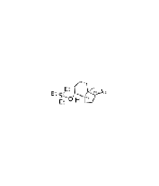 CC[Si](CC)(CC)OC1CCCC2(C)[C@@H](C(C)=O)CC[C@@H]12